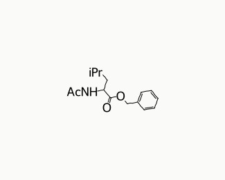 CC(=O)NC(CC(C)C)C(=O)OCc1ccccc1